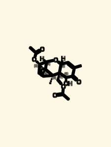 CC(=O)OC[C@]12[C@H](O)C(=O)C(C)=C[C@H]1O[C@@H]1[C@H](OC(C)=O)CC[C@@]2(C)[C@@]12CO2